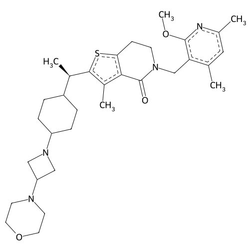 COc1nc(C)cc(C)c1CN1CCc2sc([C@H](C)C3CCC(N4CC(N5CCOCC5)C4)CC3)c(C)c2C1=O